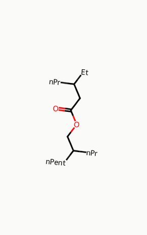 CCCCCC(CCC)COC(=O)CC(CC)CCC